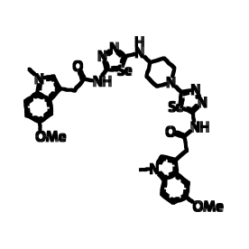 COc1ccc2c(c1)c(CC(=O)Nc1nnc(NC3CCN(c4nnc(NC(=O)Cc5cn(C)c6ccc(OC)cc56)[se]4)CC3)[se]1)cn2C